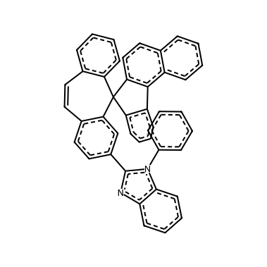 C1=Cc2ccc(-c3nc4ccccc4n3-c3ccccc3)cc2C2(c3ccccc31)c1ccccc1-c1c2ccc2ccccc12